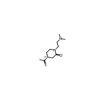 CC(=S)[C@H]1CCN(CCN(C)C)C(=O)C1